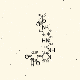 CC(C)(C)OC(=O)N1CCC(CNCCNc2cc(C3CCC(=O)NC3=O)ccn2)CC1